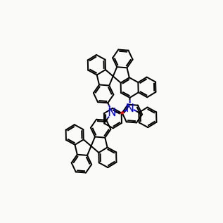 c1ccc(N(c2ccc3c(c2)-c2ccccc2C32c3ccccc3-c3ccccc32)c2ccc3c(c2)C2(c4ccccc4-3)c3ccccc3-c3c2cc(N(c2ccccc2)c2ccccc2)c2ccccc32)cc1